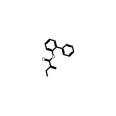 C=C(CC)C(=O)Oc1ccccc1-c1ccccc1